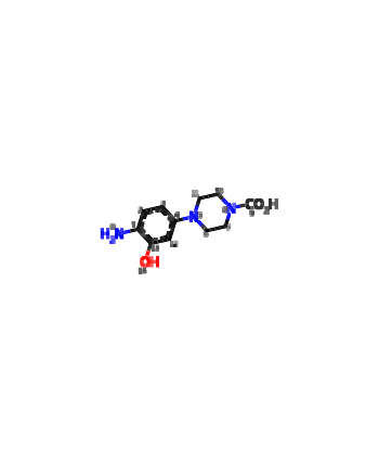 Nc1ccc(N2CCN(C(=O)O)CC2)cc1O